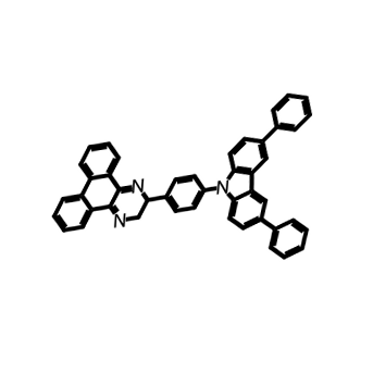 c1ccc(-c2ccc3c(c2)c2cc(-c4ccccc4)ccc2n3-c2ccc(C3CN=c4c(c5ccccc5c5ccccc45)=N3)cc2)cc1